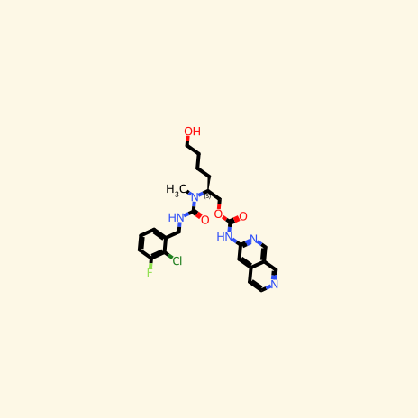 CN(C(=O)NCc1cccc(F)c1Cl)[C@@H](CCCCO)COC(=O)Nc1cc2ccncc2cn1